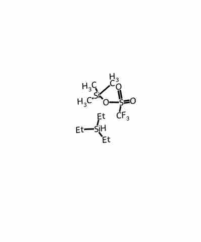 CC[SiH](CC)CC.C[Si](C)(C)OS(=O)(=O)C(F)(F)F